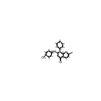 Cc1ccc2c(=O)cc(Nc3ccc(Cl)cc3)n(-c3ccccc3)c2n1